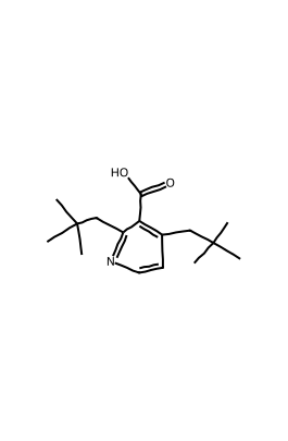 CC(C)(C)Cc1ccnc(CC(C)(C)C)c1C(=O)O